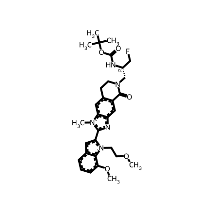 COCCn1c(-c2nc3cc4c(cc3n2C)CCN(C[C@@H](CF)NC(=O)OC(C)(C)C)C4=O)cc2cccc(OC)c21